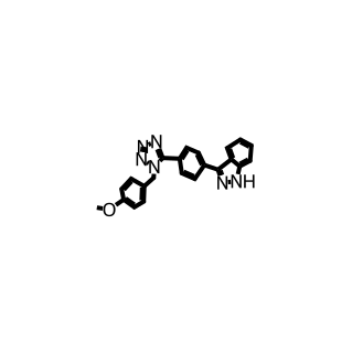 COc1ccc(Cn2nnnc2-c2ccc(-c3n[nH]c4ccccc34)cc2)cc1